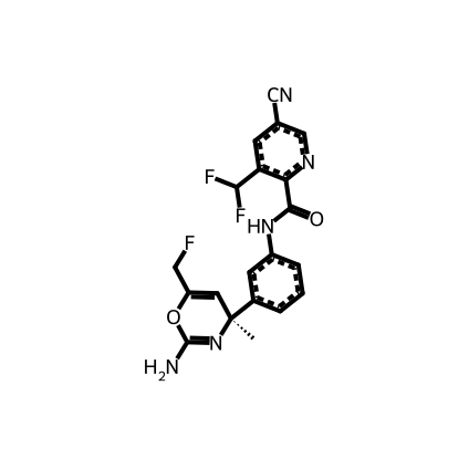 C[C@@]1(c2cccc(NC(=O)c3ncc(C#N)cc3C(F)F)c2)C=C(CF)OC(N)=N1